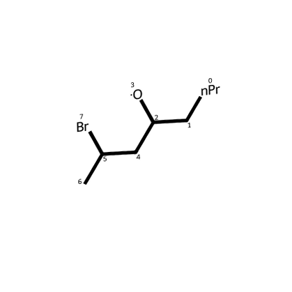 CCCCC([O])CC(C)Br